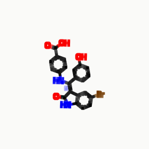 O=C1Nc2ccc(Br)cc2/C1=C(/Nc1ccc(C(=O)O)cc1)c1cccc(O)c1